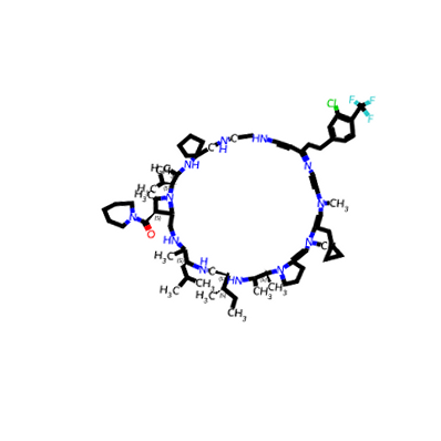 CC[C@H](C)[C@H]1CN[C@@H](CC(C)C)C(C)NCC2[C@@H](C(=O)N3CCCCC3)C(C)N2[C@@H](C(C)C)C(C)NC2(CCCC2)CNCCNC=CC(CCc2ccc(C(F)(F)F)c(Cl)c2)=NC=CN(C)C=C(CC2CC2)N(C)C=C2CCCN2[C@@H](C)C(C)N1